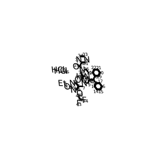 CCOc1nc(OC)c(CN2CC(C(c3ccccc3)c3ccccc3)N3CCN(C(=O)c4cnccn4)C[C@H]3C2)c(OCC(F)F)n1.Cl.Cl